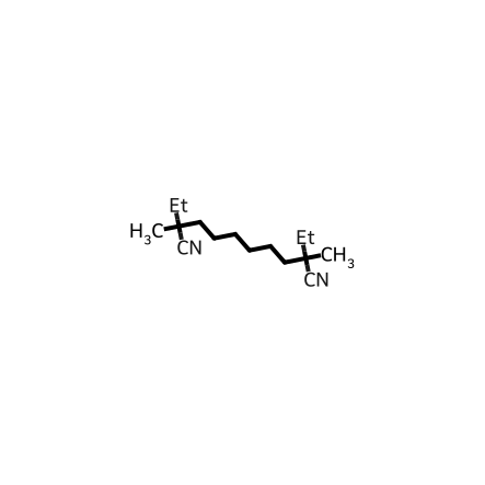 CCC(C)(C#N)CCCCCCC(C)(C#N)CC